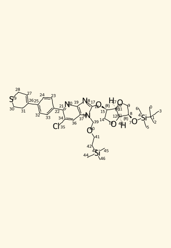 CC(C)(C)[Si](C)(C)O[C@@H]1CO[C@H]2[C@@H]1OC[C@H]2Oc1nc2nc(-c3ccc(C4=CCSCC4)cc3)c(Cl)cc2n1COCC[Si](C)(C)C